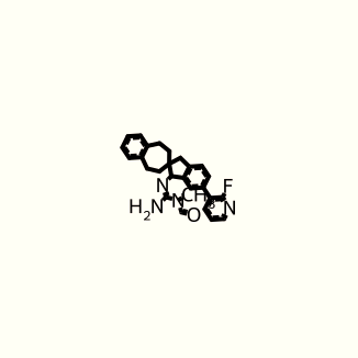 CN(C=O)/C(N)=N\C1c2cc(-c3cccnc3F)ccc2CC12CCc1ccccc1CC2